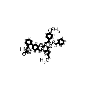 CCc1cc2c(=O)n(C/C(=N/OCc3ccccc3)c3ccc(OC)cc3)c(=O)n(Cc3ccc(-c4ccccc4-c4noc(=O)[nH]4)cc3)c2s1